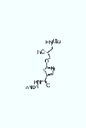 CCCCCCCCCNC(=O)c1cnc(OCC(O)CNC(C)(C)C)s1